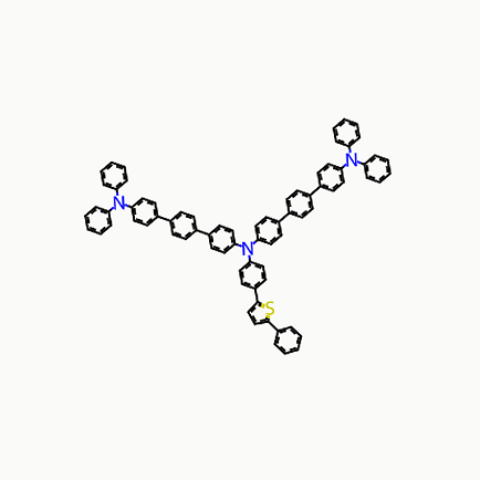 c1ccc(-c2ccc(-c3ccc(N(c4ccc(-c5ccc(-c6ccc(N(c7ccccc7)c7ccccc7)cc6)cc5)cc4)c4ccc(-c5ccc(-c6ccc(N(c7ccccc7)c7ccccc7)cc6)cc5)cc4)cc3)s2)cc1